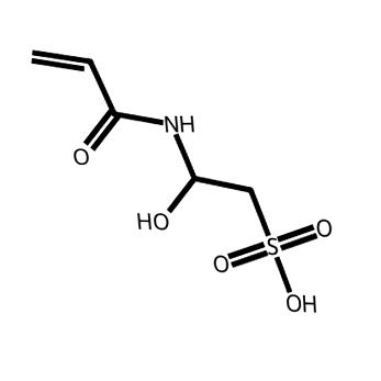 C=CC(=O)NC(O)CS(=O)(=O)O